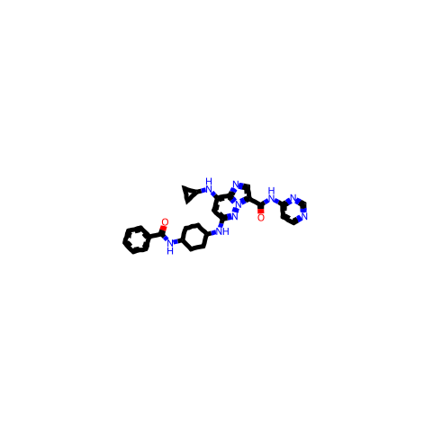 O=C(NC1CCC(Nc2cc(NC3CC3)c3ncc(C(=O)Nc4ccncn4)n3n2)CC1)c1ccccc1